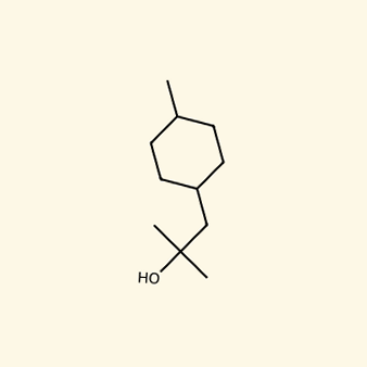 CC1CCC(CC(C)(C)O)CC1